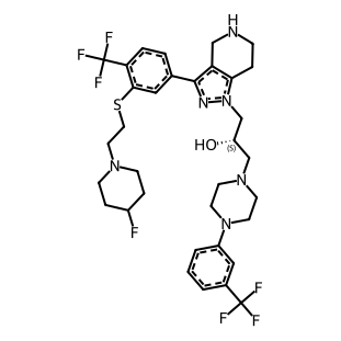 O[C@@H](CN1CCN(c2cccc(C(F)(F)F)c2)CC1)Cn1nc(-c2ccc(C(F)(F)F)c(SCCN3CCC(F)CC3)c2)c2c1CCNC2